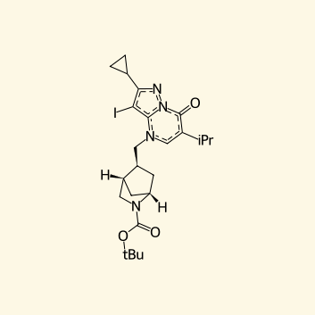 CC(C)c1cn(C[C@H]2C[C@H]3C[C@@H]2CN3C(=O)OC(C)(C)C)c2c(I)c(C3CC3)nn2c1=O